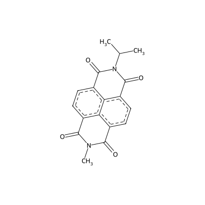 CC(C)N1C(=O)c2ccc3c4c(ccc(c24)C1=O)C(=O)N(C)C3=O